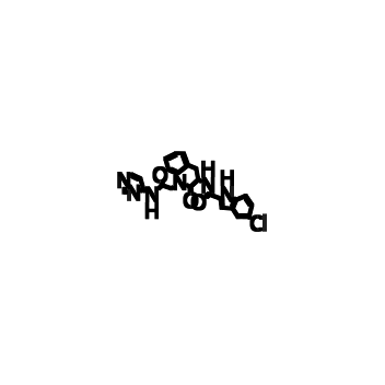 O=C(CN1C(=O)C(NC(=O)c2cc3cc(Cl)ccc3[nH]2)Cc2ccccc21)Nc1ccncn1